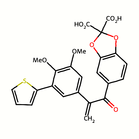 C=C(C(=O)c1ccc2c(c1)OC(C(=O)O)(C(=O)O)O2)c1cc(OC)c(OC)c(-c2cccs2)c1